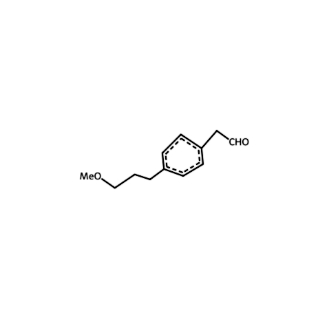 COCCCc1ccc(CC=O)cc1